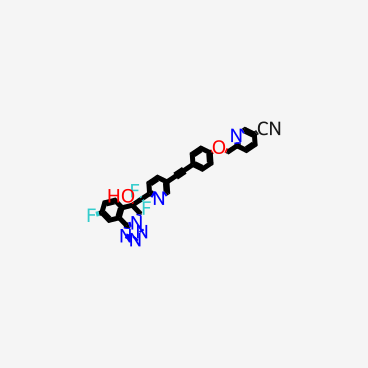 N#Cc1ccc(COc2ccc(C#Cc3ccc(C(F)(F)C4(O)Cn5nnnc5-c5cc(F)ccc54)nc3)cc2)nc1